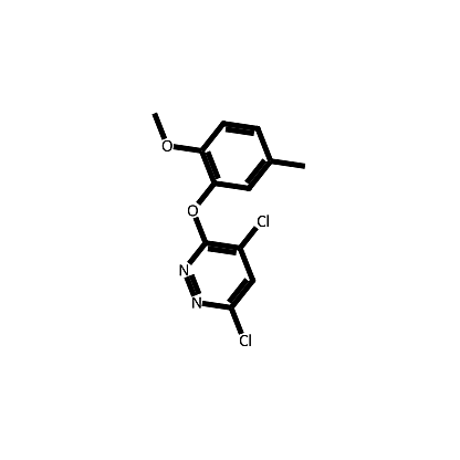 COc1ccc(C)cc1Oc1nnc(Cl)cc1Cl